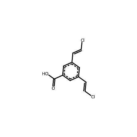 O=C(O)c1cc(C=CCl)cc(C=CCl)c1